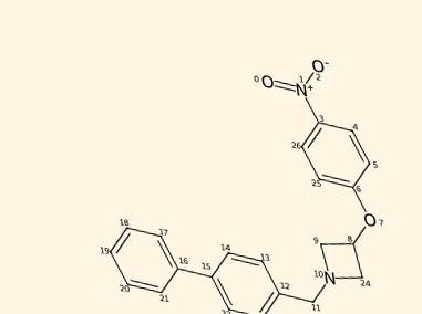 O=[N+]([O-])c1ccc(OC2CN(Cc3ccc(-c4ccccc4)cc3)C2)cc1